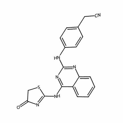 N#CCc1ccc(Nc2nc(NC3=NC(=O)CS3)c3ccccc3n2)cc1